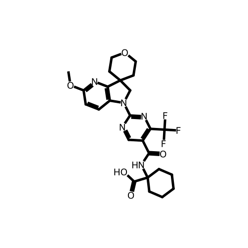 COc1ccc2c(n1)C1(CCOCC1)CN2c1ncc(C(=O)NC2(C(=O)O)CCCCC2)c(C(F)(F)F)n1